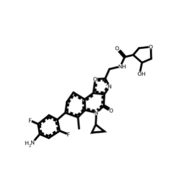 Cc1c(-c2cc(F)c(N)cc2F)ccc2c3oc(CNC(=O)C4COCC4O)nc3c(=O)n(C3CC3)c12